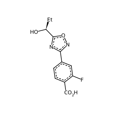 CC[C@H](O)c1nc(-c2ccc(C(=O)O)c(F)c2)no1